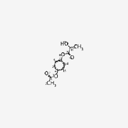 CC(=O)Oc1ccc(OC(=O)C(C)O)cc1